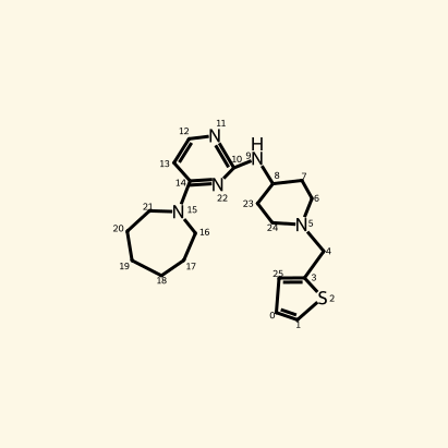 c1csc(CN2CCC(Nc3nccc(N4CCCCCC4)n3)CC2)c1